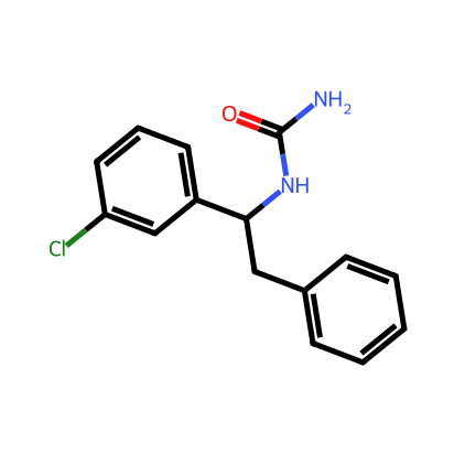 NC(=O)NC(Cc1ccccc1)c1cccc(Cl)c1